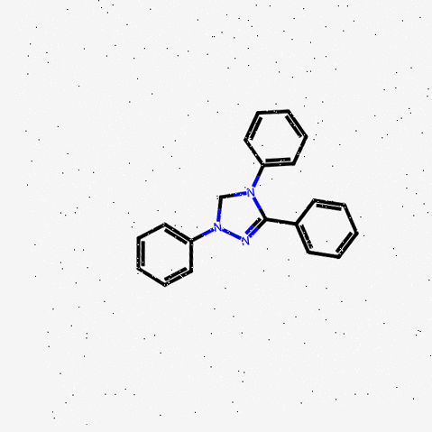 [C]1N(c2ccccc2)N=C(c2ccccc2)N1c1ccccc1